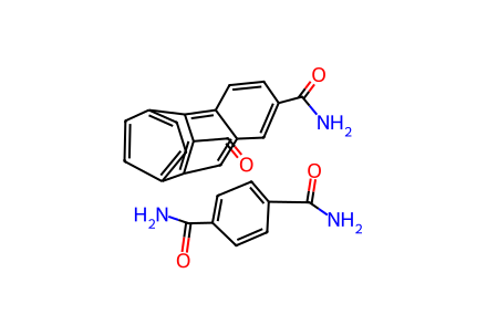 NC(=O)c1ccc(C(N)=O)cc1.NC(=O)c1ccc2c3c(C=O)c(cc2c1)-c1ccc-3cc1